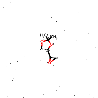 CC1(C)OC[C@@H]([C@H]2CO2)O1